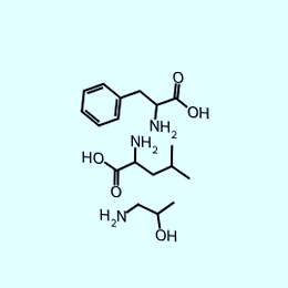 CC(C)CC(N)C(=O)O.CC(O)CN.NC(Cc1ccccc1)C(=O)O